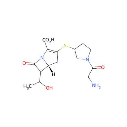 CC(O)C1C(=O)N2C(C(=O)O)=C(SC3CCN(C(=O)CN)C3)C[C@H]12